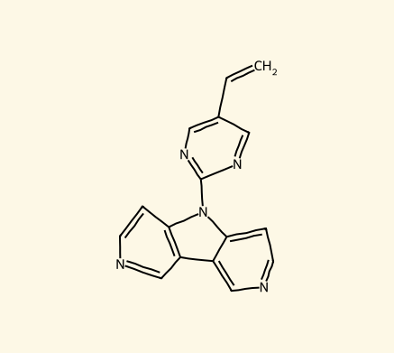 C=Cc1cnc(-n2c3ccncc3c3cnccc32)nc1